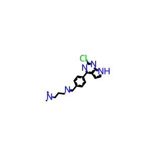 CN(C)CCC/N=C/c1ccc(-c2nc(Cl)nc3[nH]ccc23)cc1